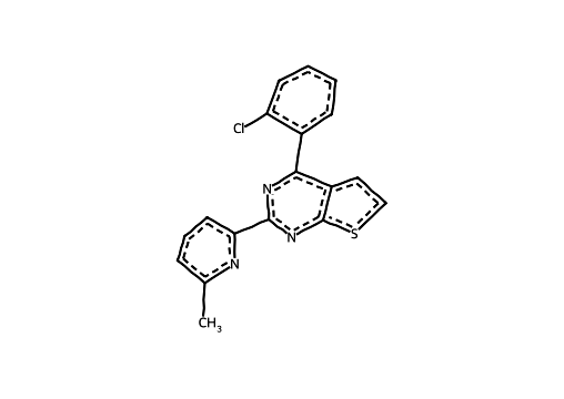 Cc1cccc(-c2nc(-c3ccccc3Cl)c3ccsc3n2)n1